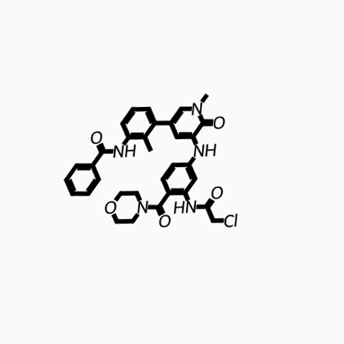 Cc1c(NC(=O)c2ccccc2)cccc1-c1cc(Nc2ccc(C(=O)N3CCOCC3)c(NC(=O)CCl)c2)c(=O)n(C)c1